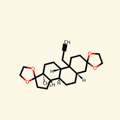 C#CCC12CCC3(C[C@@H]1CC[C@@H]1[C@@H]2CC[C@@]2(C)[C@H]1CCC21OCCO1)OCCO3